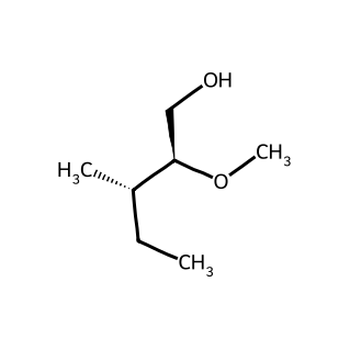 CC[C@H](C)[C@@H](CO)OC